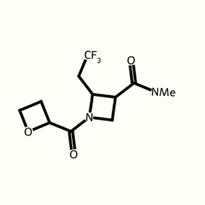 CNC(=O)C1CN(C(=O)C2CCO2)C1CC(F)(F)F